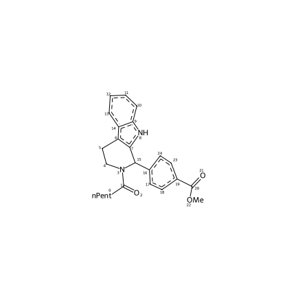 CCCCCC(=O)N1CCc2c([nH]c3ccccc23)C1c1ccc(C(=O)OC)cc1